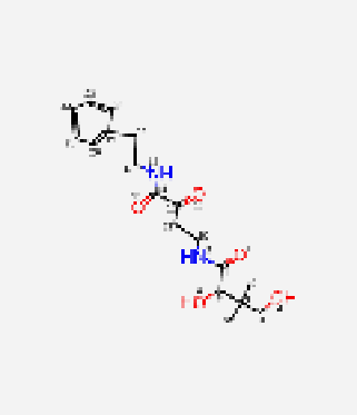 CC(C)(CO)C(O)C(=O)NCCC(=O)C(=O)NCCc1ccccc1